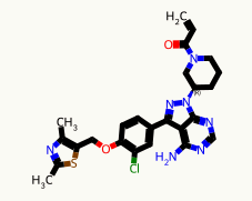 C=CC(=O)N1CCC[C@@H](n2nc(-c3ccc(OCc4sc(C)nc4C)c(Cl)c3)c3c(N)ncnc32)C1